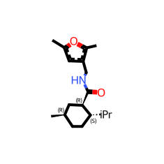 Cc1cc(CNC(=O)[C@@H]2C[C@H](C)CC[C@H]2C(C)C)c(C)o1